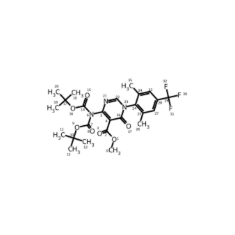 COC(=O)c1c(N(C(=O)OC(C)(C)C)C(=O)OC(C)(C)C)ncn(-c2c(C)cc(C(F)(F)F)cc2C)c1=O